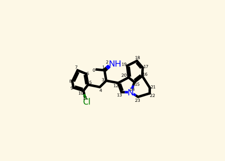 CC(=N)C(Cc1ccccc1Cl)c1cn2c3c(cccc13)CCC2